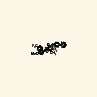 COc1ccc(-c2nc(C(=O)NCC3CCN(c4ncccn4)CC3)c([C@H](C)N)o2)c2ccc(C(F)(F)F)nc12